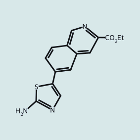 CCOC(=O)c1cc2cc(-c3cnc(N)s3)ccc2cn1